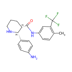 Cc1ccc(NC(=O)[C@H]2CCCN[C@H]2c2ccc(N)cc2)cc1C(F)(F)F